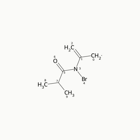 [CH2]C(=C)N(Br)C(=O)C(C)C